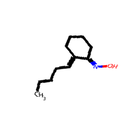 CCCCC=C1CCCCC1=NO